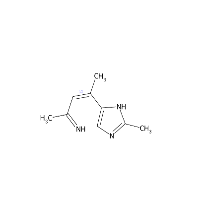 CC(=N)/C=C(/C)c1cnc(C)[nH]1